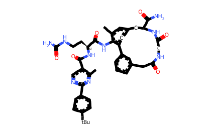 Cc1cc2cc(c1NC(=O)[C@H](CCNC(N)=O)NC(=O)c1cnc(-c3ccc(C(C)(C)C)cc3)nc1C)-c1cccc(c1)CC(=O)NCC(=O)NC(C(N)=O)C2